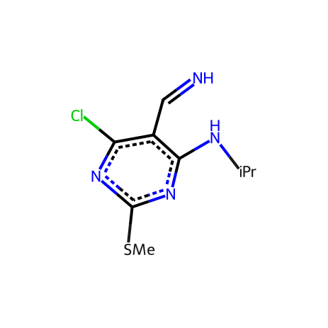 CSc1nc(Cl)c(C=N)c(NC(C)C)n1